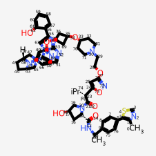 Cc1ncsc1-c1ccc([C@H](C)NC(=O)[C@@H]2C[C@@H](O)CN2C(=O)[C@@H](c2cc(OCCN3CCC(OC4CC(Oc5cc(N6C7CC[C@@H]6CN(c6ccnc8nc(-c9ccccc9O)cn68)C7)ccn5)C4)CC3)no2)C(C)C)cc1